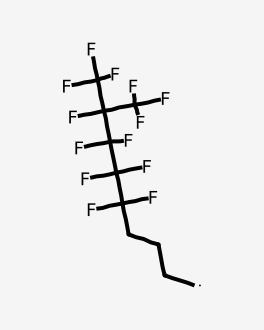 [CH2]CCCC(F)(F)C(F)(F)C(F)(F)C(F)(C(F)(F)F)C(F)(F)F